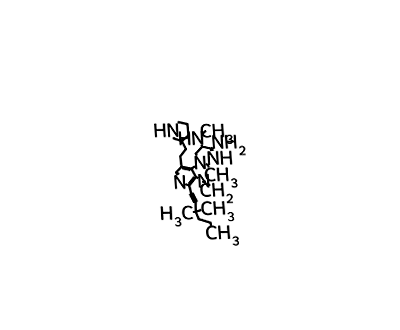 C=Nc1c(C#CC(C)(C)CCC)ncc(CCC2CCCNC2)c1N(CC)CC(NC)C(=N)N